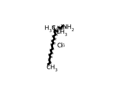 CCCCCCCCCCCCCCCC[N+](C)(C)CCCN.[Cl-]